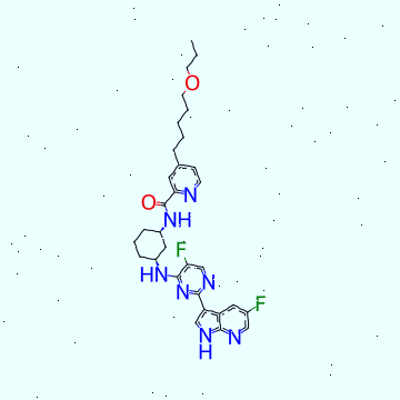 CCCOCCCCCc1ccnc(C(=O)N[C@@H]2CCC[C@H](Nc3nc(-c4c[nH]c5ncc(F)cc45)ncc3F)C2)c1